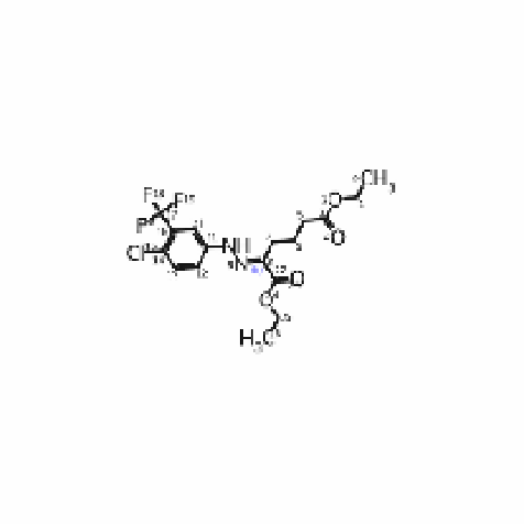 CCOC(=O)CCC/C(=N\Nc1ccc(Cl)c(C(F)(F)F)c1)C(=O)OCC